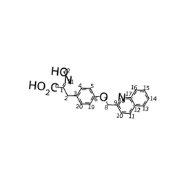 O=C(O)C(Cc1ccc(OCc2ccc3ccccc3n2)cc1)=NO